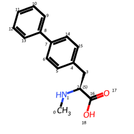 CN[C@@H](Cc1ccc(-c2ccccc2)cc1)C(=O)O